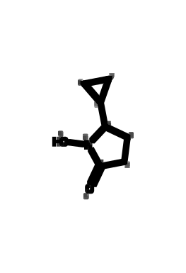 O=C1CCC(C2CC2)N1O